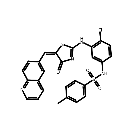 Cc1ccc(S(=O)(=O)Nc2ccc(Cl)c(NC3=NC(=O)C(=Cc4ccc5ncccc5c4)S3)c2)cc1